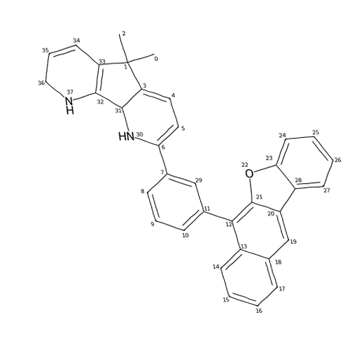 CC1(C)C2=CC=C(c3cccc(-c4c5ccccc5cc5c4oc4ccccc45)c3)NC2C2=C1C=CCN2